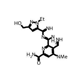 CCn1nc(CO)cc1C(=N)/N=C(\N)c1nc(C(N)=O)cc(NC)c1C=N